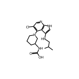 CC(C)CNc1c[nH]c2ncc(Cl)c(N3CCCC(NC(=O)O)C3)c12